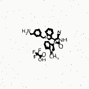 Cn1cc(-n2c(-c3cn(Cc4cccc(CN)c4)c4ccccc34)c(C#N)[nH]c2=O)c2ccccc21.O=C(O)C(F)(F)F